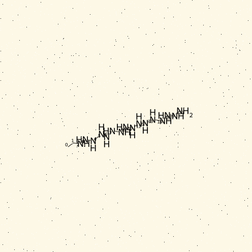 CCNNNNNNNNNNNNNNNN